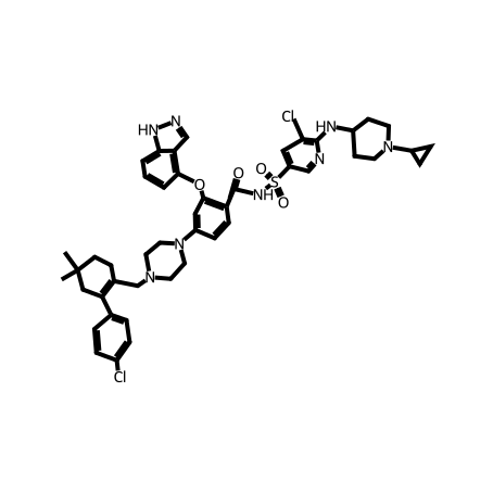 CC1(C)CCC(CN2CCN(c3ccc(C(=O)NS(=O)(=O)c4cnc(NC5CCN(C6CC6)CC5)c(Cl)c4)c(Oc4cccc5[nH]ncc45)c3)CC2)=C(c2ccc(Cl)cc2)C1